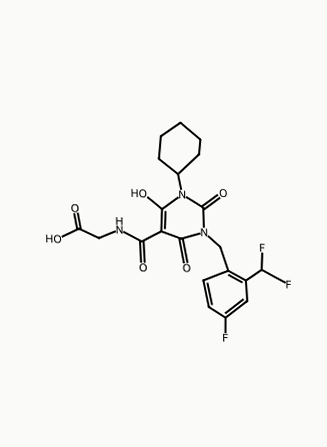 O=C(O)CNC(=O)c1c(O)n(C2CCCCC2)c(=O)n(Cc2ccc(F)cc2C(F)F)c1=O